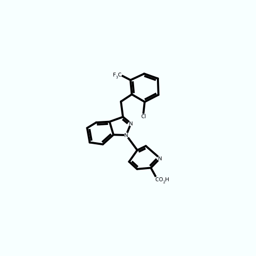 O=C(O)c1ccc(-n2nc(Cc3c(Cl)cccc3C(F)(F)F)c3ccccc32)cn1